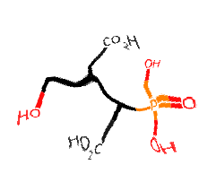 O=C(O)C(CO)C(C(=O)O)P(=O)(O)O